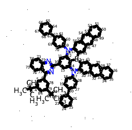 CC(C)(C)c1cc(-c2nc(-c3cc4c5c(c3)N(c3ccc(-c6ccccc6)cc3)c3cc6cc7ccccc7cc6cc3B5c3cc5cc6ccccc6cc5cc3N4c3ccc(-c4ccccc4)cc3)nc3ccccc23)cc(C(C)(C)C)c1